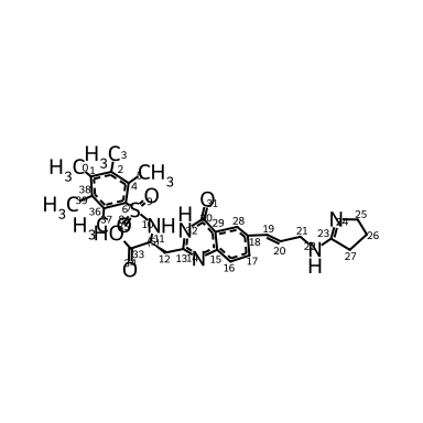 Cc1c(C)c(C)c(S(=O)(=O)N[C@@H](Cc2nc3ccc(C=CCNC4=NCCC4)cc3c(=O)[nH]2)C(=O)O)c(C)c1C